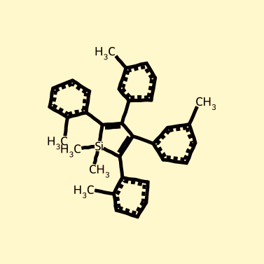 Cc1cccc(C2=C(c3ccccc3C)[Si](C)(C)C(c3ccccc3C)=C2c2cccc(C)c2)c1